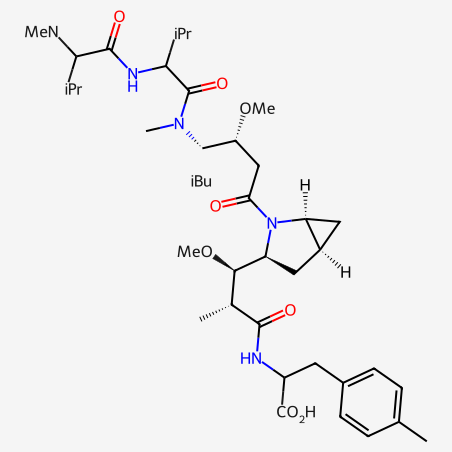 CC[C@H](C)[C@@H]([C@@H](CC(=O)N1[C@H]2C[C@H]2C[C@H]1[C@H](OC)[C@@H](C)C(=O)NC(Cc1ccc(C)cc1)C(=O)O)OC)N(C)C(=O)C(NC(=O)C(NC)C(C)C)C(C)C